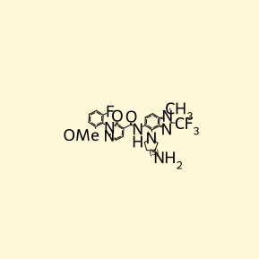 COc1cccc(F)c1-n1nccc(C(=O)Nc2ccc3c(nc(C(F)(F)F)n3C)c2N2CC[C@H](N)C2)c1=O